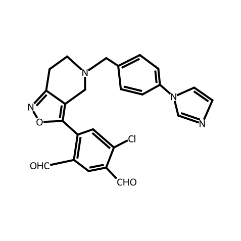 O=Cc1cc(C=O)c(-c2onc3c2CN(Cc2ccc(-n4ccnc4)cc2)CC3)cc1Cl